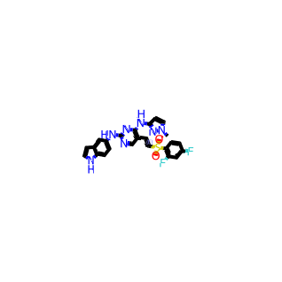 Cn1ccc(Nc2nc(Nc3ccc4[nH]ccc4c3)ncc2/C=C/S(=O)(=O)c2ccc(F)cc2F)n1